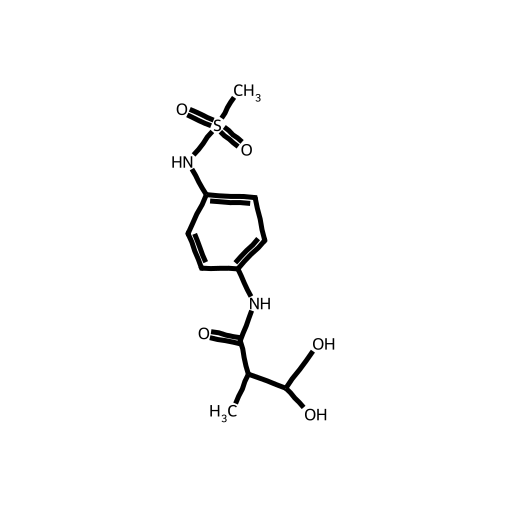 CC(C(=O)Nc1ccc(NS(C)(=O)=O)cc1)C(O)O